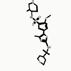 COc1ccc(-c2sc(NC(C)(C)C3CCOCC3)nc2C)cc1S(=O)(=O)NC1CCNCC1C